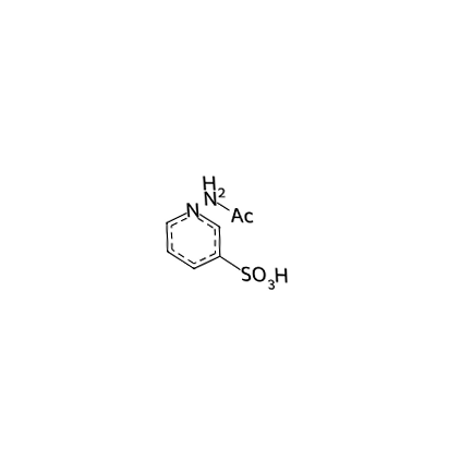 CC(N)=O.O=S(=O)(O)c1cccnc1